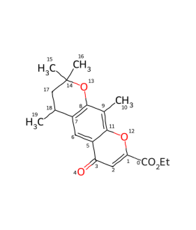 CCOC(=O)c1cc(=O)c2cc3c(c(C)c2o1)OC(C)(C)CC3C